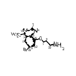 Cc1ncnc2c(OCCCN)cc(Br)cc12